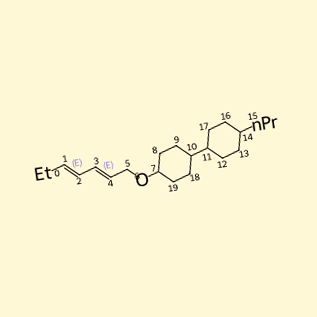 CC/C=C/C=C/COC1CCC(C2CCC(CCC)CC2)CC1